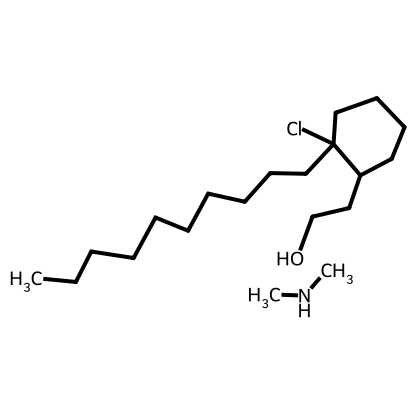 CCCCCCCCCCC1(Cl)CCCCC1CCO.CNC